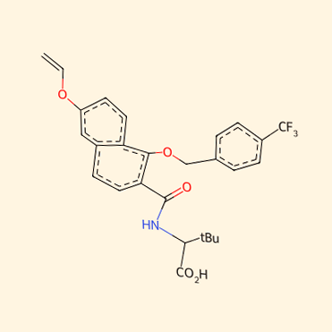 C=COc1ccc2c(OCc3ccc(C(F)(F)F)cc3)c(C(=O)NC(C(=O)O)C(C)(C)C)ccc2c1